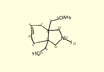 COCC12CC=CCC1(CO)CN(I)C2